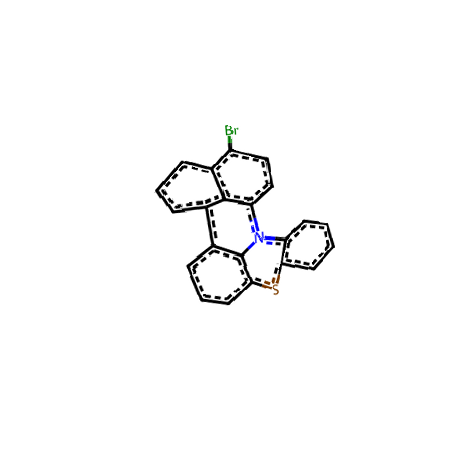 Brc1ccc2c3c1cccc3c1cccc3sc4ccccc4n2-c31